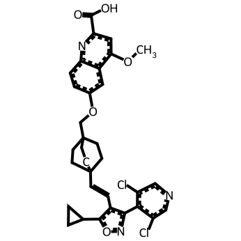 COc1cc(C(=O)O)nc2ccc(OCC34CCC(C=Cc5c(-c6c(Cl)cncc6Cl)noc5C5CC5)(CC3)CC4)cc12